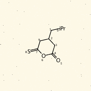 CC(C)CC1CC(=O)OC(=S)C1